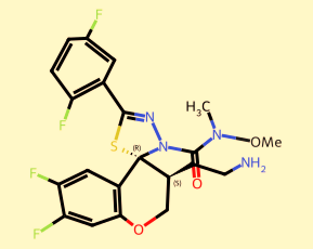 CON(C)C(=O)N1N=C(c2cc(F)ccc2F)S[C@]12c1cc(F)c(F)cc1OC[C@@H]2CCN